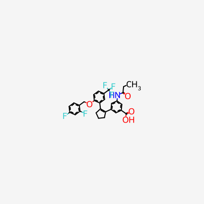 CCC(=O)Nc1cc(C(=O)O)cc(C2=C(c3cc(C(F)(F)F)ccc3OCc3ccc(F)cc3F)CCC2)c1